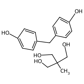 CC(CO)(CO)CO.Oc1ccc(Cc2ccc(O)cc2)cc1